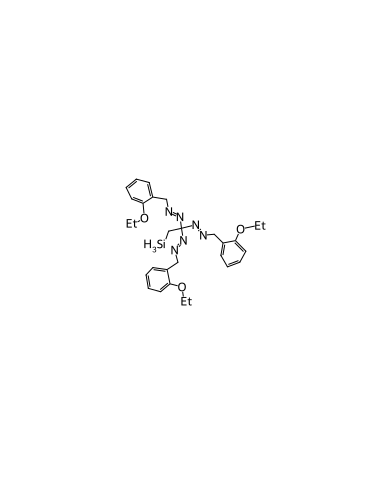 CCOc1ccccc1CN=NC(C[SiH3])(N=NCc1ccccc1OCC)N=NCc1ccccc1OCC